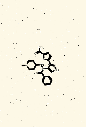 CN1CCC(NN(C(=O)c2ccccc2)c2c[nH]nc2-c2ccc(C(N)=O)s2)CC1